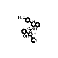 Cc1ccc(-c2cc(NC(=O)N3NC(c4cccnc4)CC3c3ccccc3O)c3ccccc3n2)cc1